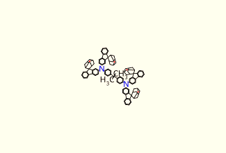 CC(C)(c1ccc(N(c2ccc3c(c2)C2(c4ccccc4-3)C3CC4CC(C3)CC2C4)c2ccc3c(c2)C2(c4ccccc4-3)C3CC4CC(C3)CC2C4)cc1)c1ccc(N(c2ccc3c(c2)C2(c4ccccc4-3)C3CC4CC(C3)CC2C4)c2ccc3c(c2)C2(c4ccccc4-3)C3CC4CC(C3)CC2C4)cc1